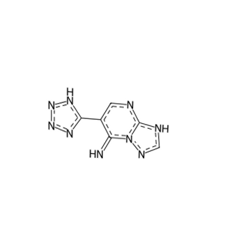 N=c1c(-c2nnn[nH]2)cnc2[nH]cnn12